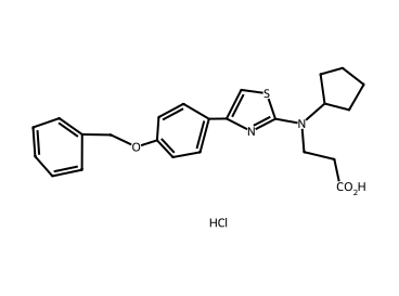 Cl.O=C(O)CCN(c1nc(-c2ccc(OCc3ccccc3)cc2)cs1)C1CCCC1